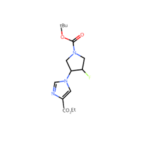 CCOC(=O)c1cn(C2CN(C(=O)OC(C)(C)C)CC2F)cn1